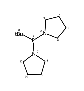 CC(C)(C)P(N1CCCC1)N1CCCC1